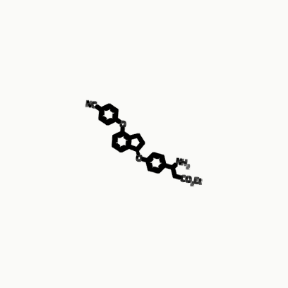 CCOC(=O)CC(N)c1ccc(O[C@@H]2CCc3c(Oc4ccc(C#N)cc4)cccc32)cc1